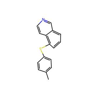 Cc1ccc(Sc2cccc3cnccc23)cc1